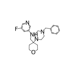 Fc1cncc(NCC2(N3CCN(Cc4ccccc4)CC3)CCOCC2)c1